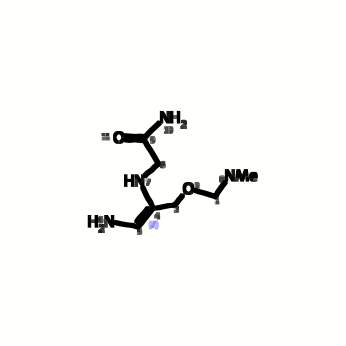 CNCOC/C(=C/N)NCC(N)=O